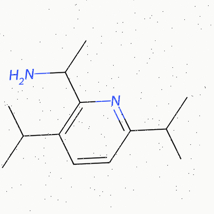 CC(C)c1ccc(C(C)C)c(C(C)N)n1